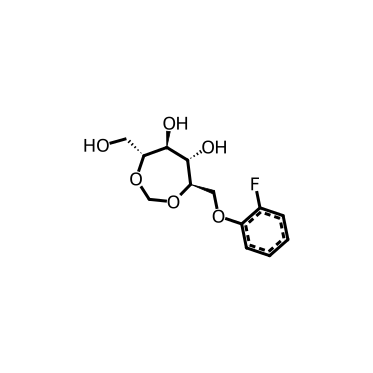 OC[C@H]1OCO[C@H](COc2ccccc2F)[C@@H](O)[C@@H]1O